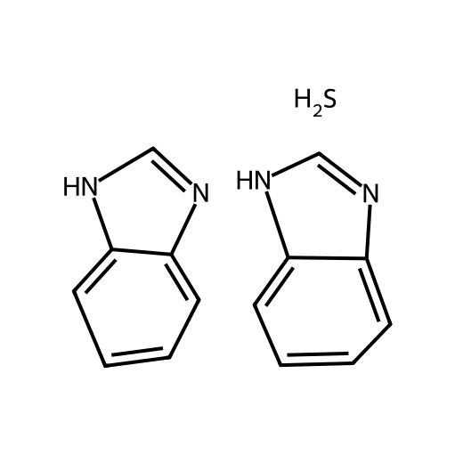 S.c1ccc2[nH]cnc2c1.c1ccc2[nH]cnc2c1